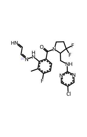 Cc1c(F)ccc(C(=O)N2CCC(F)(F)C2CNc2ncc(Cl)cn2)c1N/N=C\C=N